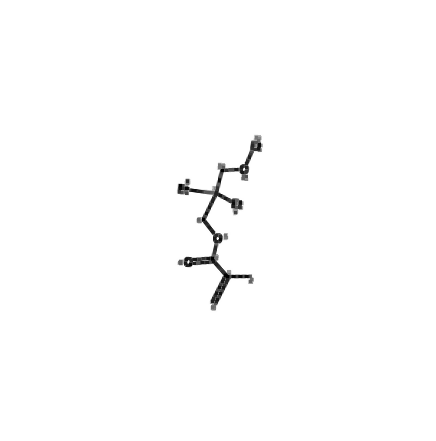 C=C(C)C(=O)OCC(CC)(CC)COCC